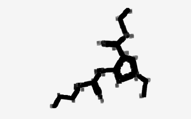 CCCNC(=S)Nc1nn(CC)cc1C(=O)OCC